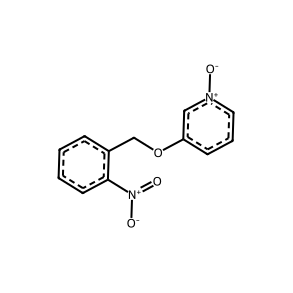 O=[N+]([O-])c1ccccc1COc1ccc[n+]([O-])c1